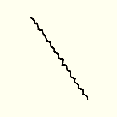 [CH]=CC=CC=CC=CC=CC=CC=CC=CC=CC=CCCCCCCCCC